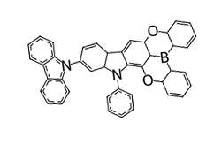 C1=CC2OC3=C4C(=CC5OC6C=CC=CC6B(C2C=C1)C35)C1C=CC(n2c3ccccc3c3ccccc32)=CC1N4c1ccccc1